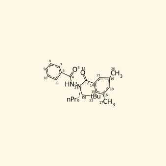 CCC[C@H](N(NC(=O)c1ccccc1)C(=O)c1cc(C)cc(C)c1)C(C)(C)C